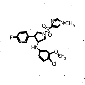 Cn1cnc(S(=O)(=O)N2C[C@H](Nc3ccc(Cl)c(OC(F)(F)F)c3)[C@@H](c3ccc(F)cc3)C2)c1